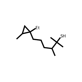 CCC1(CCCC(C)C(C)(C)S)CC1C